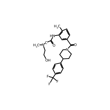 Cc1ccc(C(=O)N2CCC(c3ccc(C(F)(F)F)cc3)CC2)cc1NC(=O)CN(C)CCO